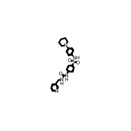 O=C(NCc1cccnc1)Nc1ccc(S(=O)(=O)Nc2ccc(N3CCCCC3)cc2)cc1